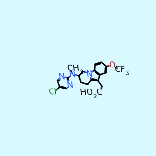 CN(c1ncc(Cl)cn1)C1CCc2c(CC(=O)O)c3cc(OC(F)(F)F)ccc3n2C1